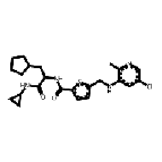 Cc1ncc(Cl)cc1NCc1ccc(C(=O)NC(CC2CCCC2)C(=O)NC2CC2)s1